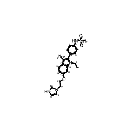 CCn1c(-c2ccc(NS(C)(=O)=O)cc2)c(N)c2ccc(OCCN3C=CNC3)cc21